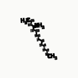 CCCCCCCCCCCCC(N)CCC